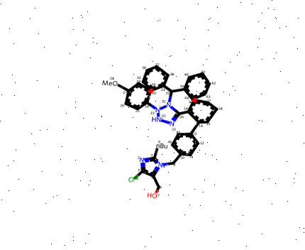 CCCCc1nc(Cl)c(CO)n1Cc1ccc(-c2ccccc2C2=NNN(c3ccc(OC)cc3)N2C(c2ccccc2)c2ccccc2)cc1